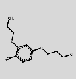 CCCSc1cc(OCCCCl)ccc1C